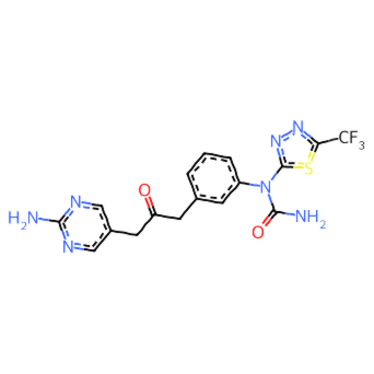 NC(=O)N(c1cccc(CC(=O)Cc2cnc(N)nc2)c1)c1nnc(C(F)(F)F)s1